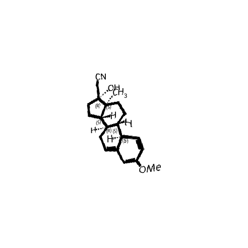 COC1=CC2=CC[C@@H]3[C@H](CC[C@@]4(C)[C@H]3CC[C@@]4(O)CC#N)[C@H]2C=C1